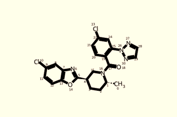 C[C@@H]1CC[C@@H](c2nc3cc(Cl)ccc3o2)CN1C(=O)c1ccc(Cl)cc1-n1nccn1